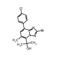 Cc1cc(-c2ccc(Cl)cc2)c2nc(Br)nn2c1C(C)(C)O